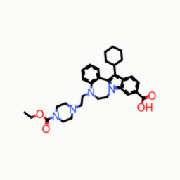 CCOC(=O)N1CCN(CCN2CCn3c(c(C4CCCCC4)c4ccc(C(=O)O)cc43)-c3ccccc32)CC1